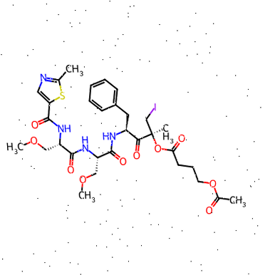 COC[C@H](NC(=O)c1cnc(C)s1)C(=O)N[C@@H](COC)C(=O)N[C@@H](Cc1ccccc1)C(=O)[C@@](C)(CI)OC(=O)CCCOC(C)=O